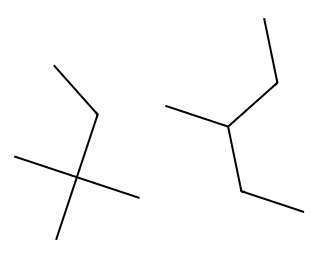 CCC(C)(C)C.CCC(C)CC